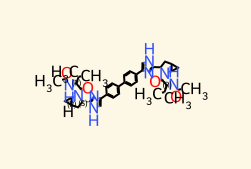 CC(=O)N[C@@H](C(=O)N1C(c2nc(-c3ccc(-c4ccc(-c5c[nH]c([C@@H]6C[C@H]7CC7N6C(=O)[C@H](NC(C)=O)C(C)C)n5)cc4)cc3)c[nH]2)CC2CC21)C(C)C